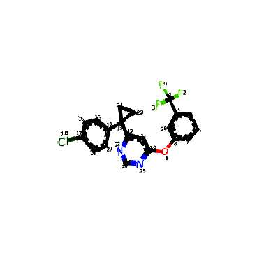 FC(F)(F)c1cccc(Oc2cc(C3(c4ccc(Cl)cc4)CC3)ncn2)c1